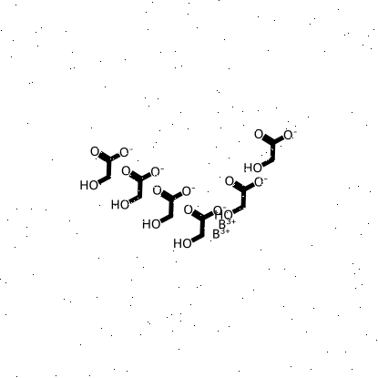 O=C([O-])CO.O=C([O-])CO.O=C([O-])CO.O=C([O-])CO.O=C([O-])CO.O=C([O-])CO.[B+3].[B+3]